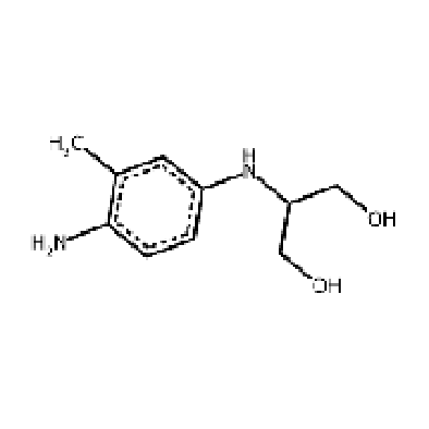 Cc1cc(NC(CO)CO)ccc1N